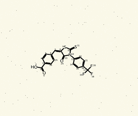 O=C(O)c1ccc(/C=C2/SC(=S)N(c3ccc(C(F)(F)F)cc3)C2=O)cc1